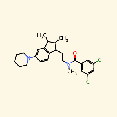 CC1c2cc(N3CCCCC3)ccc2C(CCN(C)C(=O)c2cc(Cl)cc(Cl)c2)[C@@H]1C